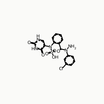 NN(C(=O)c1ccccc1N(c1c[nH]c(=O)[nH]c1=O)S(=O)(=O)O)c1cccc(Cl)c1